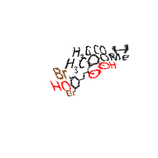 COc1c(O)c(C(=O)C=Cc2cc(Br)c(O)c(Br)c2)c(C)c(C)c1C(=O)O